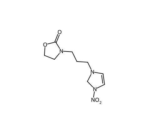 O=C1OCCN1CCCN1C=CN([N+](=O)[O-])C1